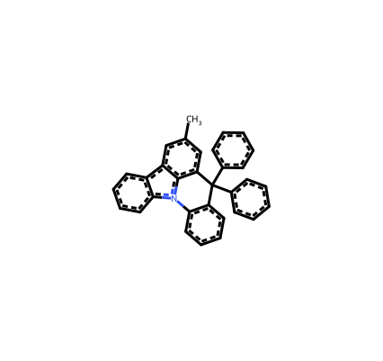 Cc1cc2c3c(c1)c1ccccc1n3-c1ccccc1C2(c1ccccc1)c1ccccc1